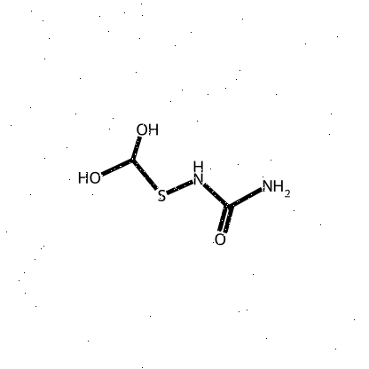 NC(=O)NSC(O)O